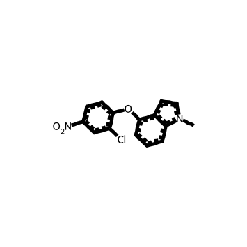 Cn1ccc2c(Oc3ccc([N+](=O)[O-])cc3Cl)cccc21